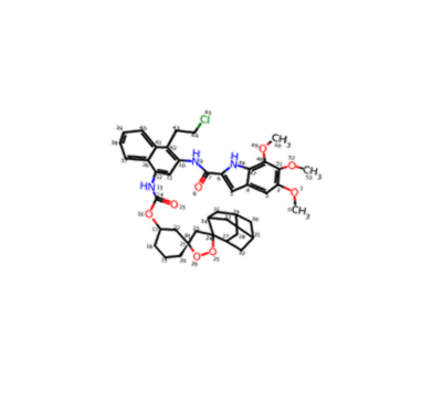 COc1cc2cc(C(=O)Nc3cc(NC(=O)OC4CCC[C@@]5(C4)CC4(OO5)C5CC6CC(C5)CC4C6)c4ccccc4c3CCCl)[nH]c2c(OC)c1OC